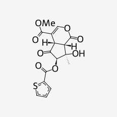 COC(=O)C1=COC(=O)[C@H]2[C@@H]1C(=O)[C@H](OC(=O)c1cccs1)[C@]2(C)O